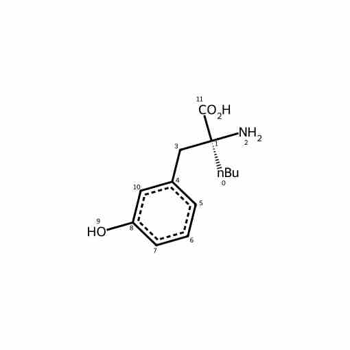 CCCC[C@](N)(Cc1cccc(O)c1)C(=O)O